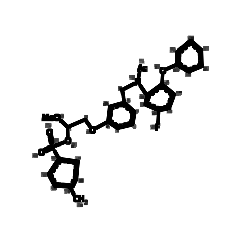 COC(COc1cccc(CN(C(C)=O)c2cc(F)ccc2Oc2ccccc2)c1)OS(=O)(=O)c1ccc(C)cc1